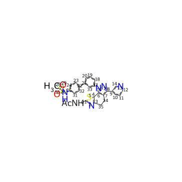 CC(=O)Nc1nc2c(s1)-c1c(c(-c3cccnc3)nn1-c1cccc(-c3ccc(NS(C)(=O)=O)cc3)c1)CC2